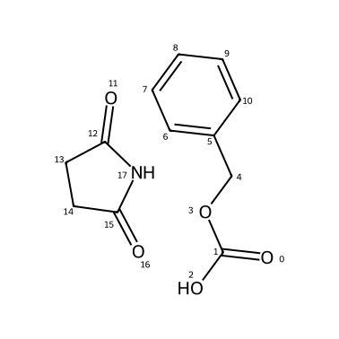 O=C(O)OCc1ccccc1.O=C1CCC(=O)N1